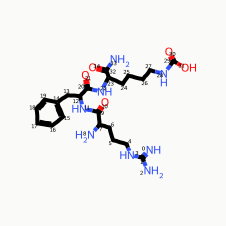 N=C(N)NCCCC(N)C(=O)NC(Cc1ccccc1)C(=O)NC(CCCCNC(=O)O)C(N)=O